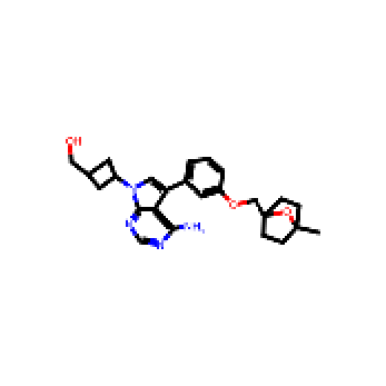 CC12CCC(COc3cccc(-c4cn(C5CC(CO)C5)c5ncnc(N)c45)c3)(CC1)O2